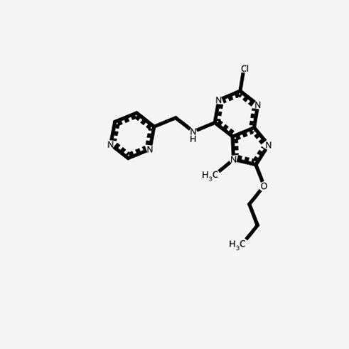 CCCOc1nc2nc(Cl)nc(NCc3ccncn3)c2n1C